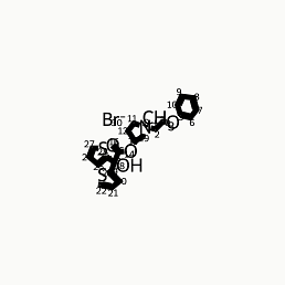 C[N+]1(CCOc2ccccc2)CCC(OC(=O)C(O)(c2cccs2)c2cccs2)C1.[Br-]